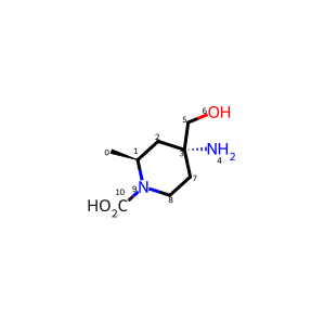 C[C@H]1C[C@@](N)(CO)CCN1C(=O)O